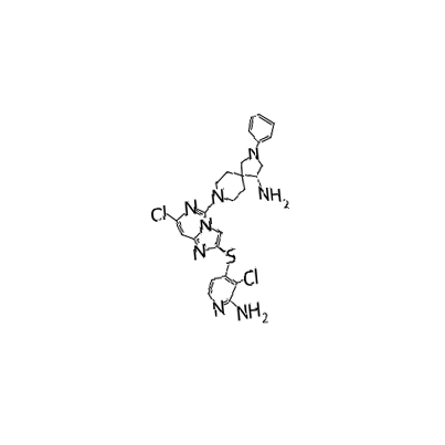 Nc1nccc(Sc2cn3c(N4CCC5(CC4)CN(c4ccccc4)CC5N)nc(Cl)cc3n2)c1Cl